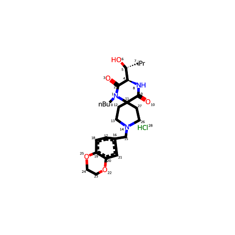 CCCCN1C(=O)[C@@H]([C@H](O)C(C)C)NC(=O)C12CCN(Cc1ccc3c(c1)OCCO3)CC2.Cl